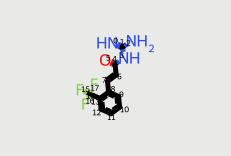 N=C(N)NC(=O)/C=C/c1ccccc1C(F)(F)F